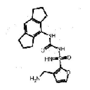 N=S(=O)(NC(=O)Nc1c2c(cc3c1CCC3)CCC2)c1occc1CN